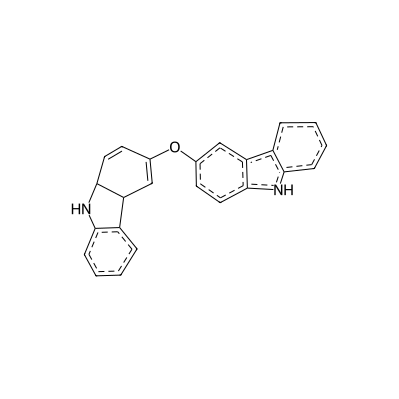 C1=CC2Nc3ccccc3C2C=C1Oc1ccc2[nH]c3ccccc3c2c1